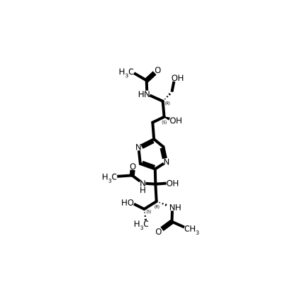 CC(=O)N[C@H]([C@H](C)O)C(O)(NC(C)=O)c1cnc(C[C@H](O)[C@@H](CO)NC(C)=O)cn1